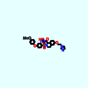 COc1ccc(Oc2ccc(S(=O)(=O)N3CCc4cc(OCCn5ccnc5)ccc4C3C(=O)NO)cc2)cc1